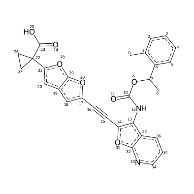 Cc1ccccc1C(C)OC(=O)Nc1c(C#Cc2cc3cc(C4(C(=O)O)CC4)oc3o2)oc2ncccc12